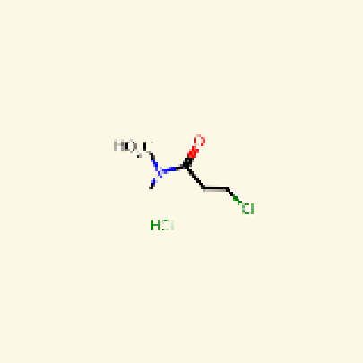 CN(C(=O)O)C(=O)CCCl.Cl